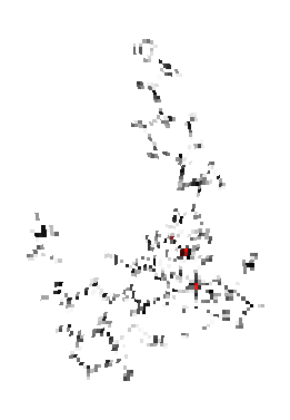 CCc1c(F)ccc2cc(OCOC)cc(-c3ncc4c(N5C[C@H]6CC[C@@H](C5)N6C(=O)OC(C)(C)C)nc(OCC5(CN6CCC(=NOC)CC6)CC5)nc4c3F)c12